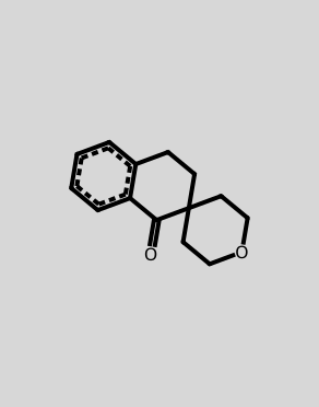 O=C1c2ccccc2CCC12CCOCC2